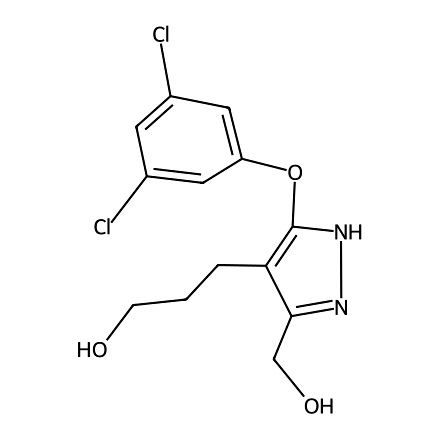 OCCCc1c(CO)n[nH]c1Oc1cc(Cl)cc(Cl)c1